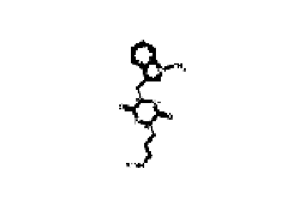 CC(=O)NCCC[C@H]1NC(=O)[C@@H](Cc2cn(C)c3ccccc23)NC1=O